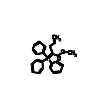 C=CCC(C(=O)OC)=P(c1ccccc1)(c1ccccc1)c1ccccc1